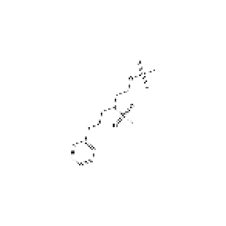 CS(=O)(=O)OCCN(CCOc1ccccc1)S(C)(=O)=O